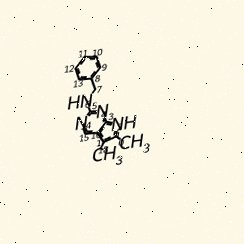 Cc1[nH]c2nc(NCc3ccccc3)ncc2c1C